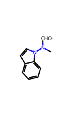 CN([C]=O)n1ccc2ccccc21